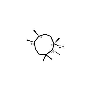 C[C@@H]1CCC(C)(C)[C@@H](C)[C@@](C)(O)CC[C@@H]1C